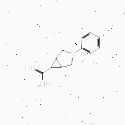 N=C(NO)C1C2CN(c3ccccc3)CC21